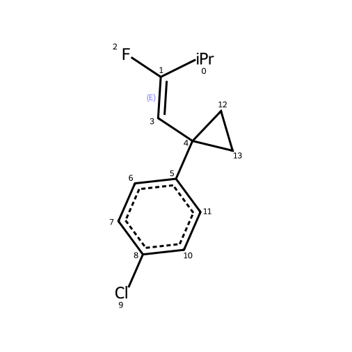 CC(C)/C(F)=C\C1(c2ccc(Cl)cc2)CC1